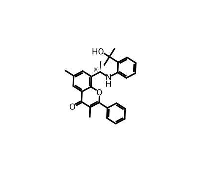 Cc1cc([C@@H](C)Nc2ccccc2C(C)(C)O)c2oc(-c3ccccc3)c(C)c(=O)c2c1